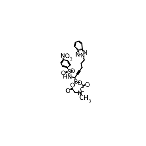 CN1CC(=O)OB(C(C#CCCCn2nc3ccccc3n2)NS(=O)(=O)c2ccc([N+](=O)[O-])cc2)OC(=O)C1